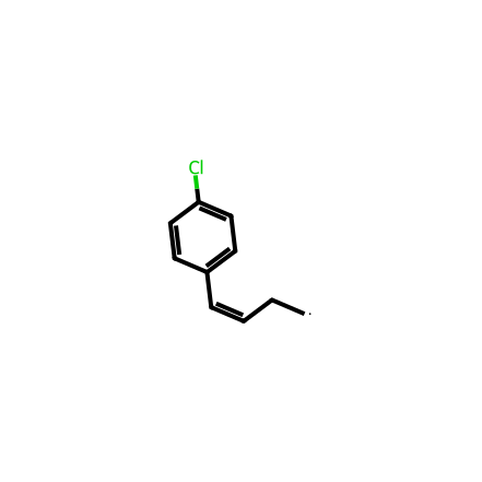 [CH2]C/C=C\c1ccc(Cl)cc1